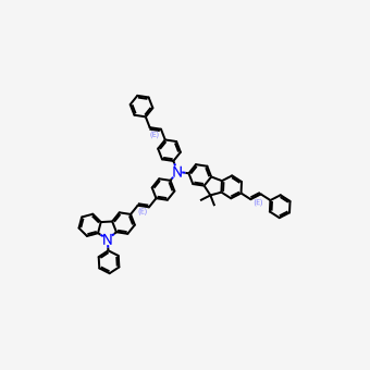 CC1(C)c2cc(/C=C/c3ccccc3)ccc2-c2ccc(N(c3ccc(/C=C/c4ccccc4)cc3)c3ccc(/C=C/c4ccc5c(c4)c4ccccc4n5-c4ccccc4)cc3)cc21